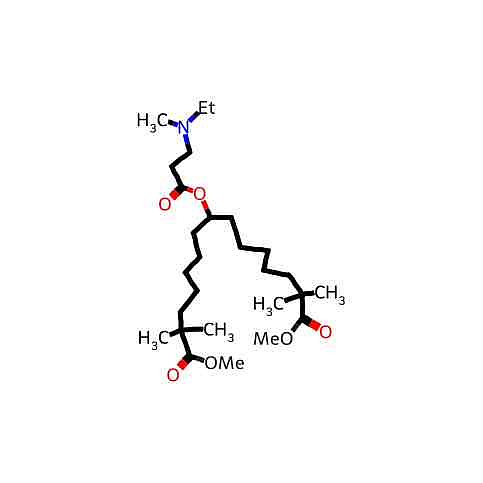 CCN(C)CCC(=O)OC(CCCCCC(C)(C)C(=O)OC)CCCCCC(C)(C)C(=O)OC